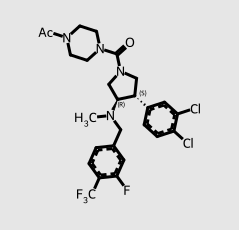 CC(=O)N1CCN(C(=O)N2C[C@H](c3ccc(Cl)c(Cl)c3)[C@@H](N(C)Cc3ccc(C(F)(F)F)c(F)c3)C2)CC1